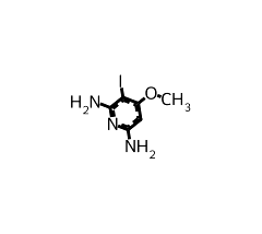 COc1cc(N)nc(N)c1I